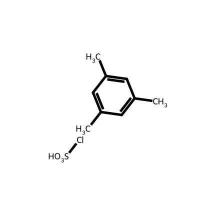 Cc1cc(C)cc(C)c1.O=S(=O)(O)Cl